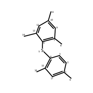 Cc1ccc(Sc2c(C)cc(C)cc2C)c(C)c1